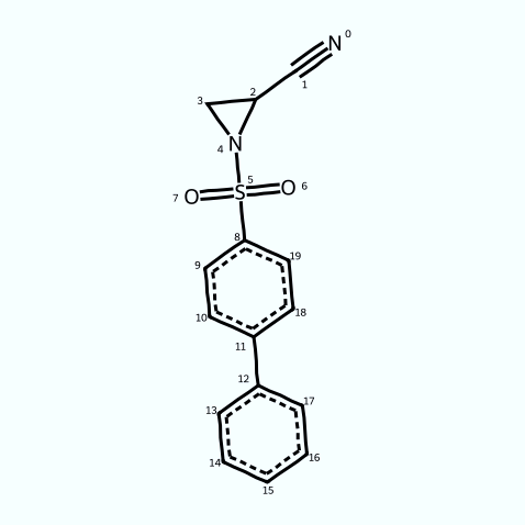 N#CC1CN1S(=O)(=O)c1ccc(-c2ccccc2)cc1